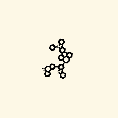 C[C@@H]1Cc2ccc(-c3cc(C4CCc5cccc(-c6ccc7c(c6)c6ccccc6n7-c6ccccc6)c5-c5ccccc54)cc4c3sc3ccccc34)cc2-c2ccccc21